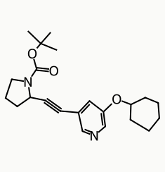 CC(C)(C)OC(=O)N1CCCC1C#Cc1cncc(OC2CCCCC2)c1